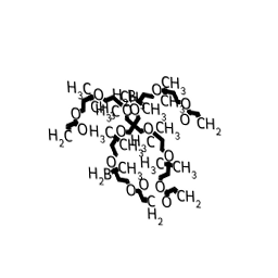 BC(C)(CCOC(=O)C=C)OCCC(C)(C)OCC(COC(B)(C)CCOC(C)(C)CCOC(=O)C=C)(COC(C)(C)CCOC(C)(C)CCOC(=O)C=C)COC(C)(C)CCOC(C)(C)CCOC(=O)C=C